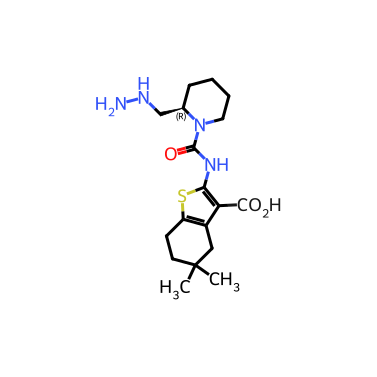 CC1(C)CCc2sc(NC(=O)N3CCCC[C@@H]3CNN)c(C(=O)O)c2C1